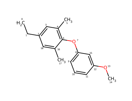 [CH2]Cc1cc(C)c(Oc2cccc(OC)c2)c(C)c1